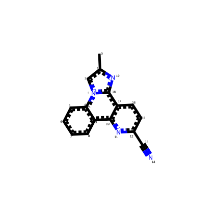 Cc1cn2c3ccccc3c3nc(C#N)ccc3c2n1